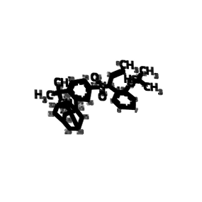 C/C=C/C(c1ccccc1O[SiH](C)C)S(=O)(=O)c1ccc(C(C)(C)C)c(C23CC4CC(CC(C4)C2)C3)c1